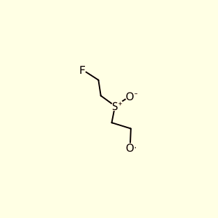 [O]CC[S+]([O-])CCF